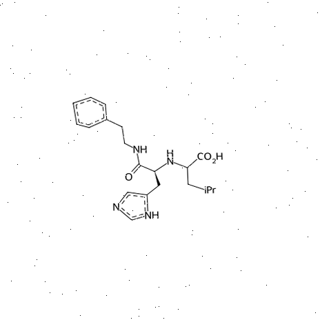 CC(C)CC(N[C@@H](Cc1cnc[nH]1)C(=O)NCCc1ccccc1)C(=O)O